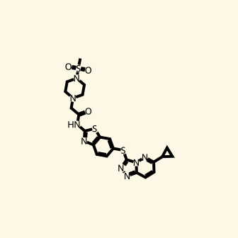 CS(=O)(=O)N1CCN(CC(=O)Nc2nc3ccc(Sc4nnc5ccc(C6CC6)nn45)cc3s2)CC1